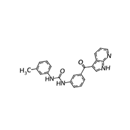 Cc1cccc(NC(=O)Nc2cccc(C(=O)c3c[nH]c4ncccc34)c2)c1